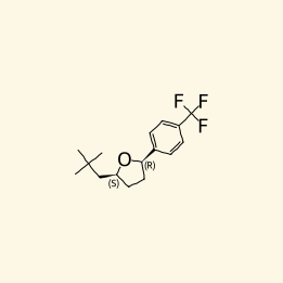 CC(C)(C)C[C@@H]1CC[C@H](c2ccc(C(F)(F)F)cc2)O1